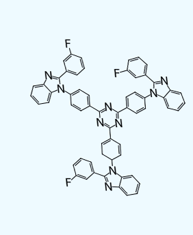 Fc1cccc(-c2nc3ccccc3n2-c2ccc(-c3nc(C4=CCC(n5c(-c6cccc(F)c6)nc6ccccc65)C=C4)nc(-c4ccc(-n5c(-c6cccc(F)c6)nc6ccccc65)cc4)n3)cc2)c1